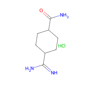 Cl.N=C(N)C1CCC(C(N)=O)CC1